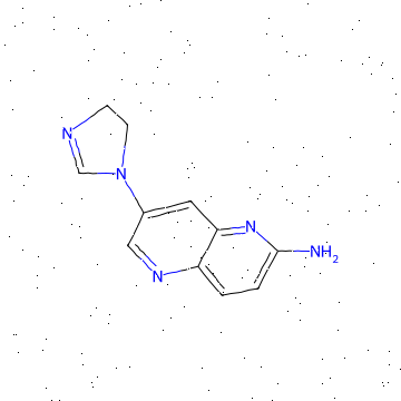 Nc1ccc2ncc(N3C=NCC3)cc2n1